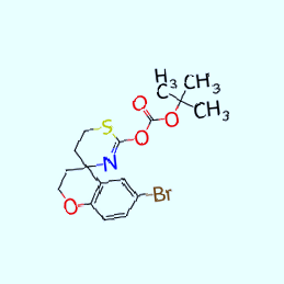 CC(C)(C)OC(=O)OC1=NC2(CCOc3ccc(Br)cc32)CCS1